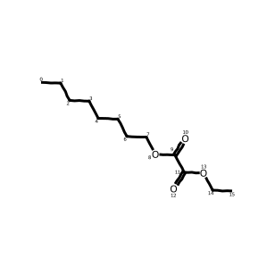 CCCCCCCCOC(=O)C(=O)OCC